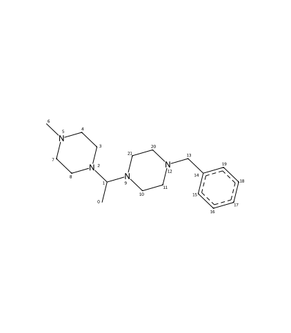 CC(N1CCN(C)CC1)N1CCN(Cc2ccccc2)CC1